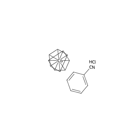 Cl.N#Cc1ccccc1.[CH]12[CH]3[CH]4[CH]5[CH]1[Co]23451678[CH]2[CH]1[CH]6[CH]7[CH]28